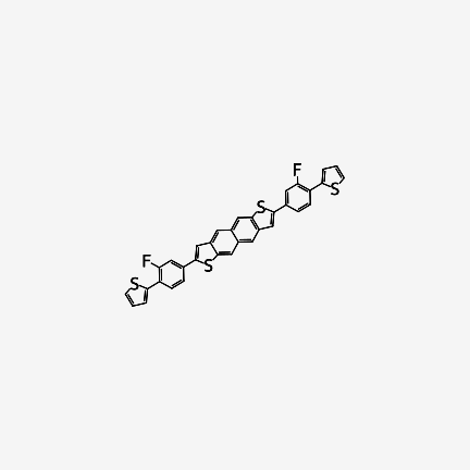 Fc1cc(-c2cc3cc4cc5sc(-c6ccc(-c7cccs7)c(F)c6)cc5cc4cc3s2)ccc1-c1cccs1